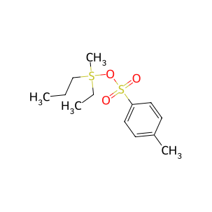 CCCS(C)(CC)OS(=O)(=O)c1ccc(C)cc1